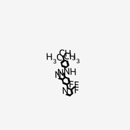 CC(C)(C)c1ccc(Nc2nncc3cc(-c4ncccc4C(F)(F)F)ccc23)cc1